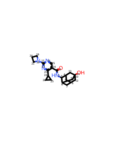 O=C(NC1C2CC3CC1CC(O)(C3)C2)c1cnc(N2CCC2)nc1C1CC1